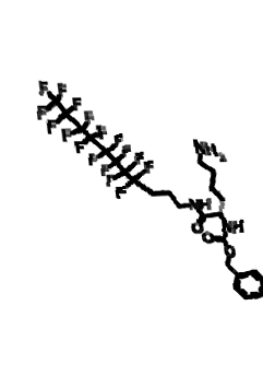 NCCCC[C@H](NC(=O)OCc1ccccc1)C(=O)NCCCC(F)(F)C(F)(F)C(F)(F)C(F)(F)C(F)(F)C(F)(F)C(F)(F)C(F)(F)F